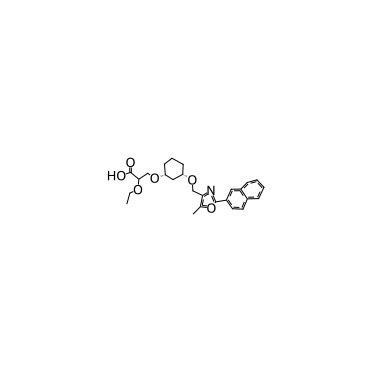 CCOC(CO[C@@H]1CCC[C@H](OCc2nc(-c3ccc4ccccc4c3)oc2C)C1)C(=O)O